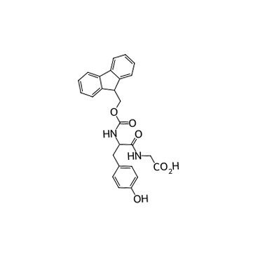 O=C(O)CNC(=O)C(Cc1ccc(O)cc1)NC(=O)OCC1c2ccccc2-c2ccccc21